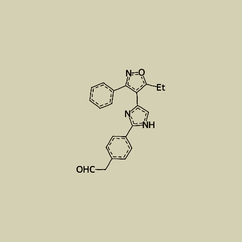 CCc1onc(-c2ccccc2)c1-c1c[nH]c(-c2ccc(CC=O)cc2)n1